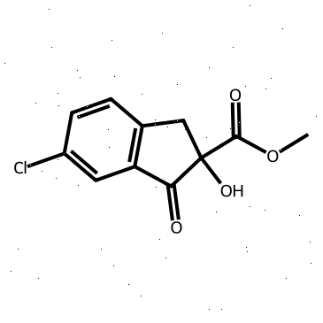 COC(=O)C1(O)Cc2ccc(Cl)cc2C1=O